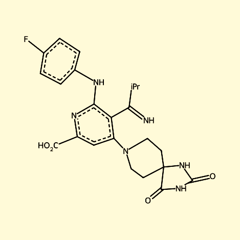 CC(C)C(=N)c1c(N2CCC3(CC2)NC(=O)NC3=O)cc(C(=O)O)nc1Nc1ccc(F)cc1